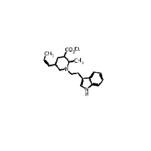 C/C=C\C1CC(C(=O)OCC)C(C)N(CCc2c[nH]c3ccccc23)C1